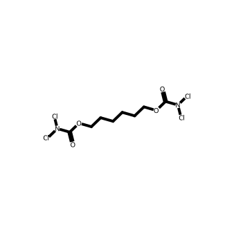 O=C(OCCCCCCOC(=O)N(Cl)Cl)N(Cl)Cl